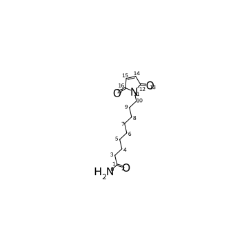 NC(=O)CCCCCCCCN1C(=O)C=CC1=O